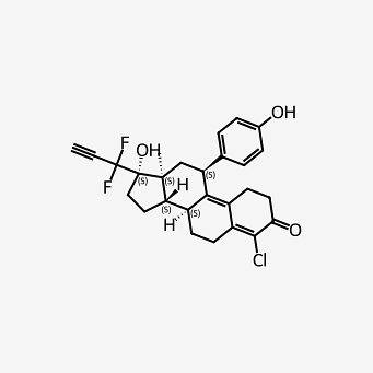 C#CC(F)(F)[C@]1(O)CC[C@H]2[C@@H]3CCC4=C(Cl)C(=O)CCC4=C3[C@H](c3ccc(O)cc3)C[C@@]21C